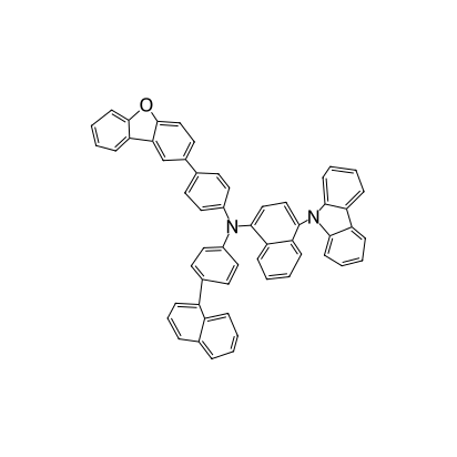 c1ccc2c(-c3ccc(N(c4ccc(-c5ccc6oc7ccccc7c6c5)cc4)c4ccc(-n5c6ccccc6c6ccccc65)c5ccccc45)cc3)cccc2c1